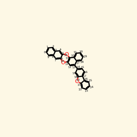 c1ccc2cc3c(cc2c1)Oc1cc(-c2ccc4c(c2)oc2ccccc24)c2ccccc2c1O3